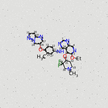 CCOc1ncc2ncnc(Nc3ccc(Oc4cnc5ccnn5c4)c(C)c3)c2c1O[C@H]1CCN(C)CC1(F)F